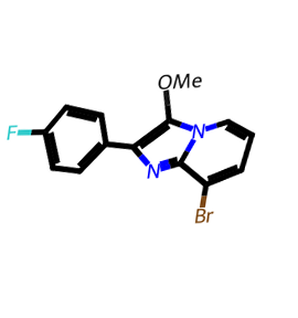 COc1c(-c2ccc(F)cc2)nc2c(Br)cccn12